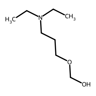 CCN(CC)CCCOCO